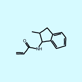 C=CC(=O)NC1c2ccccc2CC1C